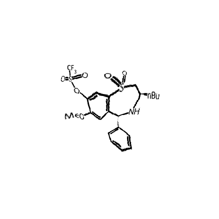 CCCC[C@@H]1CS(=O)(=O)c2cc(OS(=O)(=O)C(F)(F)F)c(OC)cc2[C@@H](c2ccccc2)N1